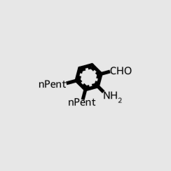 CCCCCc1ccc(C=O)c(N)c1CCCCC